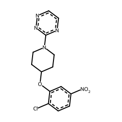 O=[N+]([O-])c1ccc(Cl)c(OC2CCN(c3nccnn3)CC2)c1